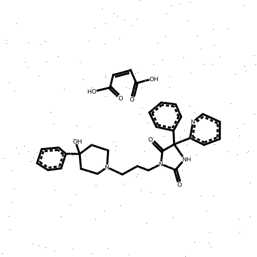 O=C(O)/C=C\C(=O)O.O=C1NC(c2ccccc2)(c2ccccn2)C(=O)N1CCCN1CCC(O)(c2ccccc2)CC1